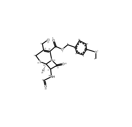 COc1ccc(COC(=O)C2=C(CCl)CS[C@@H]3C(NC=O)C(=O)N23)cc1